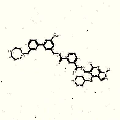 CCc1nc2c(cnn2CC)c(NC2CCOCC2)c1CNC(=O)c1cccc(C(=O)NCc2cc(OC)cc(-c3cccc(CN4CCCNCC4)c3)c2)c1